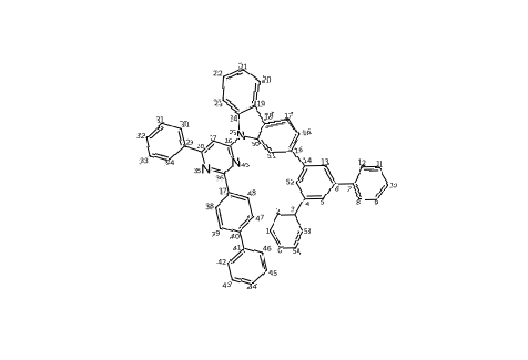 C1=CCC(c2cc(-c3ccccc3)cc(-c3ccc4c5ccccc5n(-c5cc(-c6ccccc6)nc(-c6ccc(-c7ccccc7)cc6)n5)c4c3)c2)C=C1